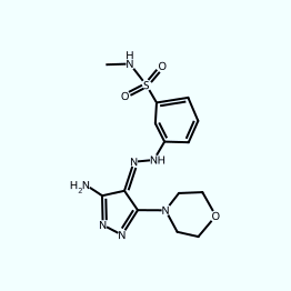 CNS(=O)(=O)c1cccc(N/N=C2/C(N)=NN=C2N2CCOCC2)c1